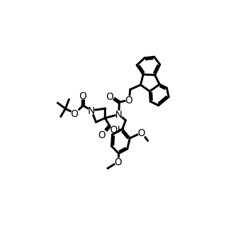 COc1ccc(CN(C(=O)OCC2c3ccccc3-c3ccccc32)C2(C(=O)O)CN(C(=O)OC(C)(C)C)C2)c(OC)c1